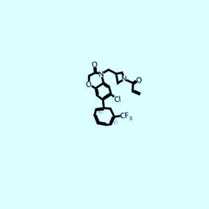 C=CC(=O)N1CC(CN2C(=O)COc3cc(/C4=C/C=C=C/C=C(/C(F)(F)F)C4)c(Cl)cc32)C1